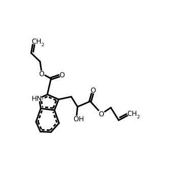 C=CCOC(=O)c1[nH]c2ccccc2c1CC(O)C(=O)OCC=C